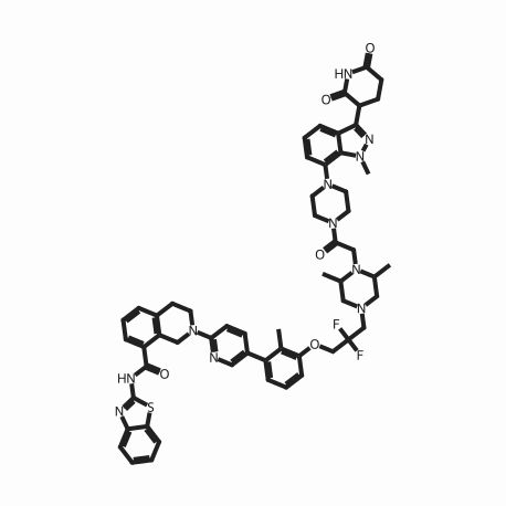 Cc1c(OCC(F)(F)CN2CC(C)N(CC(=O)N3CCN(c4cccc5c(C6CCC(=O)NC6=O)nn(C)c45)CC3)C(C)C2)cccc1-c1ccc(N2CCc3cccc(C(=O)Nc4nc5ccccc5s4)c3C2)nc1